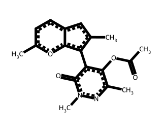 CC(=O)Oc1c(C)nn(C)c(=O)c1-c1c(C)cc2ccc(C)oc1-2